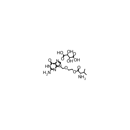 CC(C)[C@H](N)C(=O)OCCOCn1cnc2c(=O)[nH]c(N)nc21.O=C(O)C(O)C(O)C(=O)O